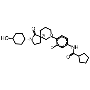 O=C(Nc1ccc(N2CCC[C@]3(CCN([C@H]4CC[C@H](O)CC4)C3=O)C2)c(F)c1)C1CCCC1